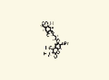 CCCc1cc2oc(=O)c(C)c(O)c2cc1OCCCSc1ccc(CC(=O)O)cc1Cl